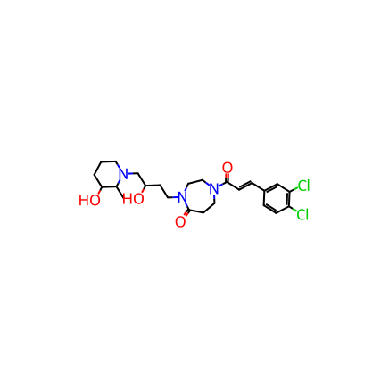 CC1C(O)CCCN1CC(O)CCN1CCN(C(=O)C=Cc2ccc(Cl)c(Cl)c2)CCC1=O